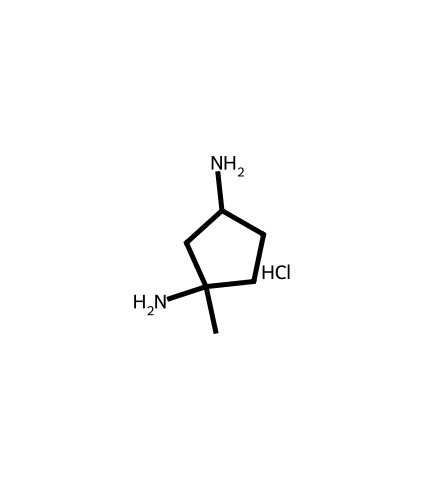 CC1(N)CCC(N)C1.Cl